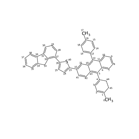 CC1=CC=C(c2c3ccccc3c(-c3ccc(C)cc3)c3cc(-c4ccc(-c5cccc6c5Cc5ccccc5-6)s4)ccc23)CC1